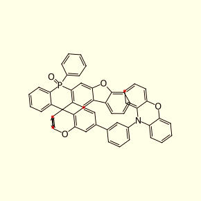 O=P1(c2ccccc2)c2ccccc2C2(c3ccccc3Oc3cc(-c4cccc(N5c6ccccc6Oc6ccccc65)c4)ccc32)c2cc3c(cc21)oc1ccccc13